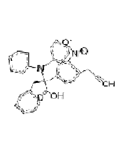 C#CCc1ccc([C@](Cc2ccccc2)(C(=O)O)N(c2ccccc2)c2ccccc2)cc1[N+](=O)[O-]